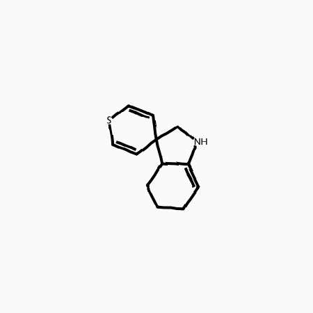 C1=CC2(C=CS1)CNC1=CCCCC12